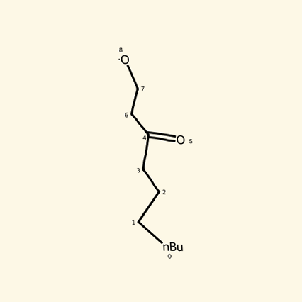 CCCCCCCC(=O)CC[O]